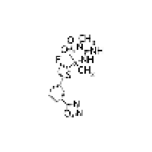 CN1C(=N)N[C@](C)(c2sc(-c3cccc(-c4nnco4)c3)cc2F)CS1(=O)=O